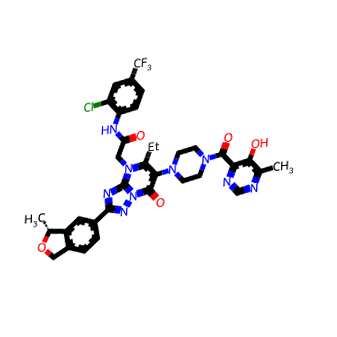 CCc1c(N2CCN(C(=O)c3ncnc(C)c3O)CC2)c(=O)n2nc(-c3ccc4c(c3)[C@@H](C)OC4)nc2n1CC(=O)Nc1ccc(C(F)(F)F)cc1Cl